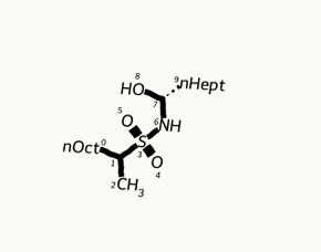 CCCCCCCCC(C)S(=O)(=O)N[C@H](O)CCCCCCC